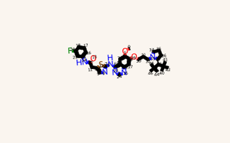 COc1cc2c(Nc3ncc(CC(=O)Nc4cccc(F)c4)s3)ncnc2cc1OCCCN1CCC[C@H]1[C](C(C)(C)C)C(C)(C)C